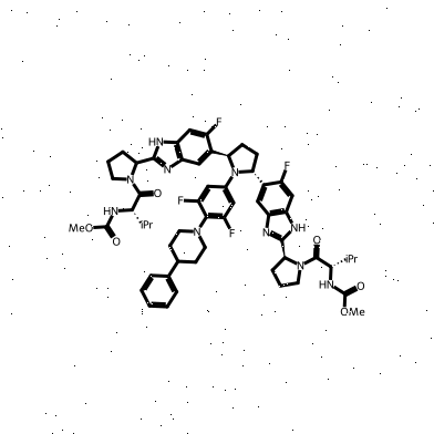 COC(=O)N[C@H](C(=O)N1CCCC1c1nc2cc([C@H]3CC[C@H](c4cc5nc([C@@H]6CCCN6C(=O)[C@@H](NC(=O)OC)C(C)C)[nH]c5cc4F)N3c3cc(F)c(N4CCC(c5ccccc5)CC4)c(F)c3)c(F)cc2[nH]1)C(C)C